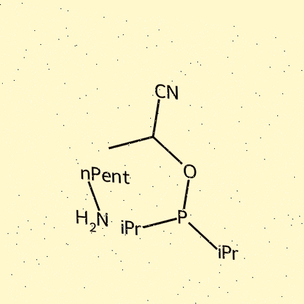 CC(C#N)OP(C(C)C)C(C)C.CCCCCN